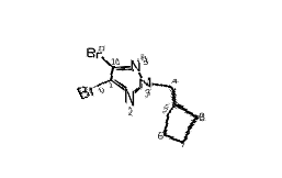 Brc1nn(CC2CCC2)nc1Br